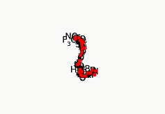 Cc1ncsc1-c1ccc(CNC(=O)[C@@H]2CCCN2C(=O)[C@@H](NC(=O)CN(C)CCCCOCCCOc2ccc(N3C(=S)N(c4ccc(C#N)c(C(F)(F)F)c4)C(=O)C3(C)C)cc2)C(C)(C)C)cc1